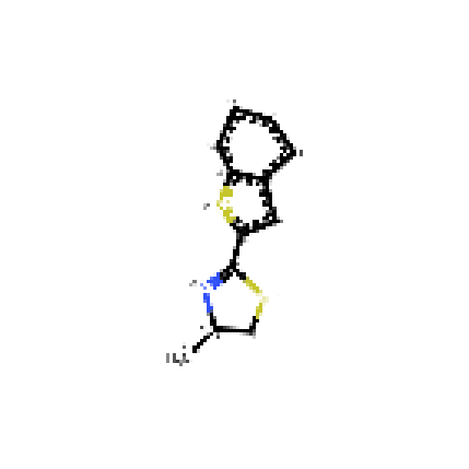 C[C@@H]1CSC(c2cc3ccccc3s2)=N1